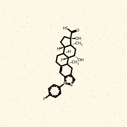 C[C@]12Cc3cnn(-c4ccc(F)cc4)c3C=C1CC[C@H]1[C@@H]3CC[C@](O)(C(=O)S)[C@@]3(C)C[C@H](O)[C@@]12F